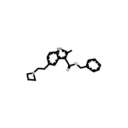 Cc1[nH]c2ccc(CCN3CCC3)cc2c1C(=O)OCc1ccccc1